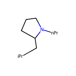 [CH2]CCN1CCCC1CC(C)C